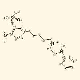 CCS(=O)(=O)Nc1cc(CCCCCN2CCN(c3ccccc3)CC2)ccc1OC